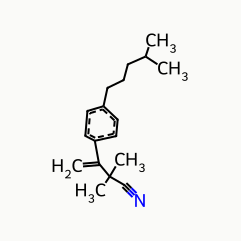 C=C(c1ccc(CCCC(C)C)cc1)C(C)(C)C#N